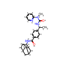 CC(NC(=O)N(C)c1ccccn1)c1ccc(C(=O)NC2C3CC4CC(C3)CC2C4)cc1